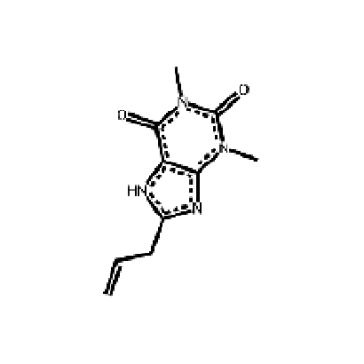 C=CCc1nc2c([nH]1)c(=O)n(C)c(=O)n2C